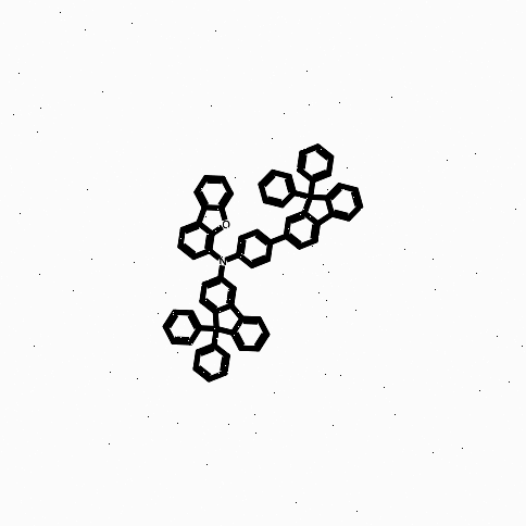 c1ccc(C2(c3ccccc3)c3ccccc3-c3cc(N(c4ccc(-c5ccc6c(c5)C(c5ccccc5)(c5ccccc5)c5ccccc5-6)cc4)c4cccc5c4oc4ccccc45)ccc32)cc1